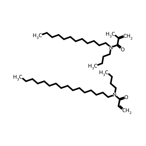 C=C(C)C(=O)N(CCCC)CCCCCCCCCCCC.C=CC(=O)N(CCCC)CCCCCCCCCCCCCCCC